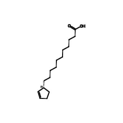 O=C(O)CCCCCCCCCC[C@H]1C=CCC1